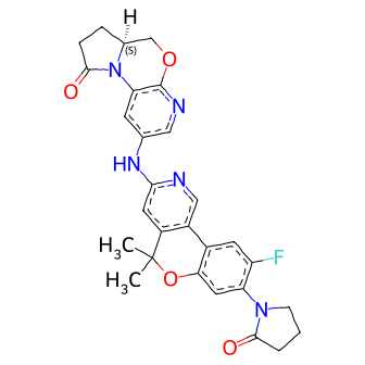 CC1(C)Oc2cc(N3CCCC3=O)c(F)cc2-c2cnc(Nc3cnc4c(c3)N3C(=O)CC[C@H]3CO4)cc21